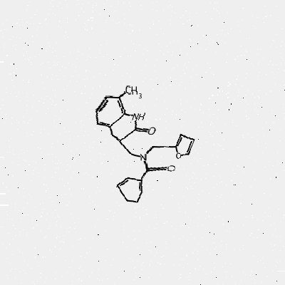 Cc1cccc2c1NC(=O)C(CN(Cc1ccco1)C(=O)C1=CCCC=C1)C2